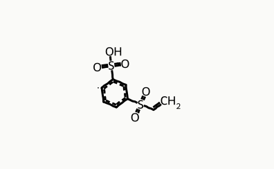 C=CS(=O)(=O)c1cc[c]c(S(=O)(=O)O)c1